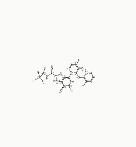 Cc1cccc(C)c1Oc1c(-c2cn(C)c(=O)c3[nH]c(C(=O)NC4(C)CC4(F)F)cc23)ccn(C)c1=O